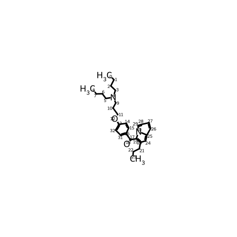 CCCCN(CCCC)CCCOc1ccc(C(=O)c2c(CCC)cc3ccccn23)cc1